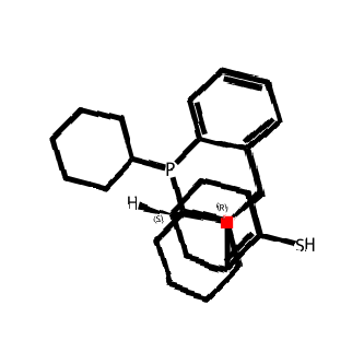 SC1=C2C[C@H](CC1)[C@H]2Cc1ccccc1P(C1CCCCC1)C1CCCCC1